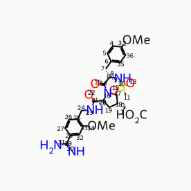 CC(=O)O.COc1ccc(C[C@H](NS(C)(=O)=O)C(=O)N2CCC[C@H]2C(=O)NCc2ccc(C(=N)N)cc2OC)cc1